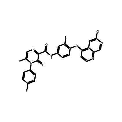 Cc1cnc(C(=O)Nc2ccc(Oc3ccnc4cnc(Cl)cc34)c(F)c2)c(=O)n1-c1ccc(F)cc1